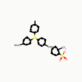 COc1ccc([S+](c2ccc(C)cc2)c2ccc(OC)cc2)cc1.O=S(=O)([O-])c1ccccc1C(F)(F)F